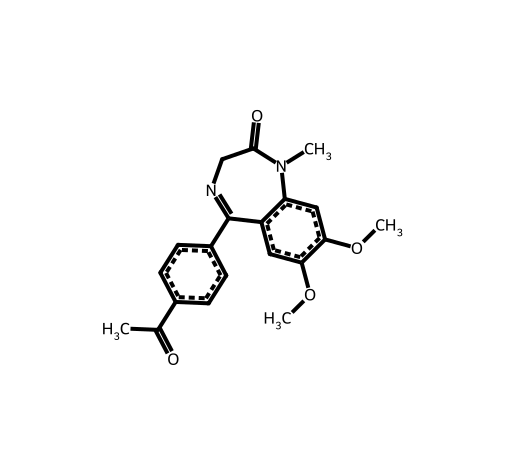 COc1cc2c(cc1OC)N(C)C(=O)CN=C2c1ccc(C(C)=O)cc1